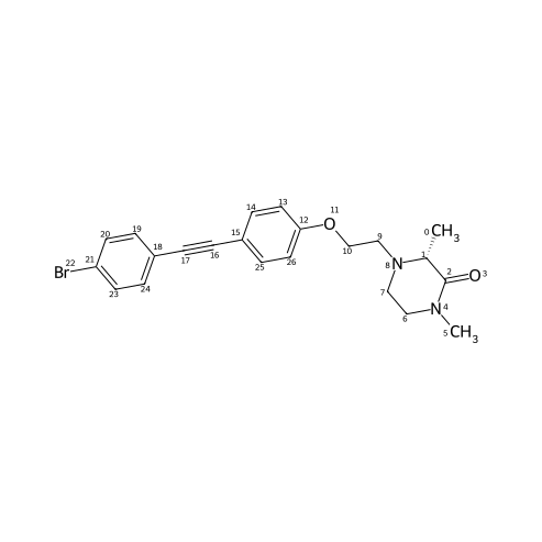 C[C@@H]1C(=O)N(C)CCN1CCOc1ccc(C#Cc2ccc(Br)cc2)cc1